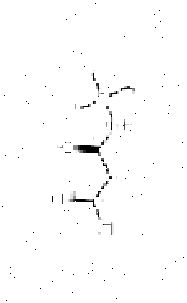 C[Si](C)(C)NC(=O)CC(Cl)Cl